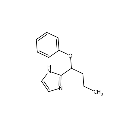 CCCC(Oc1ccccc1)c1ncc[nH]1